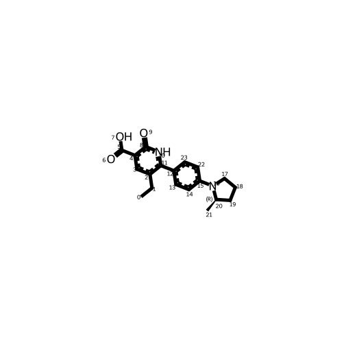 CCc1cc(C(=O)O)c(=O)[nH]c1-c1ccc(N2CCC[C@H]2C)cc1